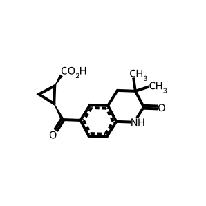 CC1(C)Cc2cc(C(=O)[C@H]3C[C@H]3C(=O)O)ccc2NC1=O